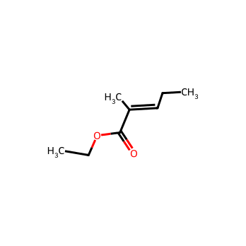 CC/C=C(\C)C(=O)OCC